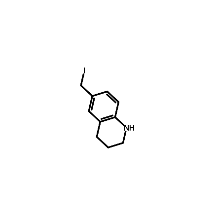 ICc1ccc2c(c1)CCCN2